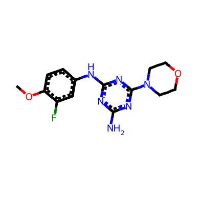 COc1ccc(Nc2nc(N)nc(N3CCOCC3)n2)cc1F